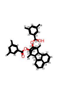 Cc1cc(C)cc(C(=O)OC2C(OC(O)c3cc(C)cc(C)c3)C3(C)CCC2(C)C2c4cccc5cccc(c45)C23)c1